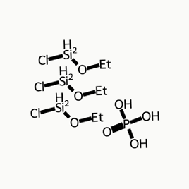 CCO[SiH2]Cl.CCO[SiH2]Cl.CCO[SiH2]Cl.O=P(O)(O)O